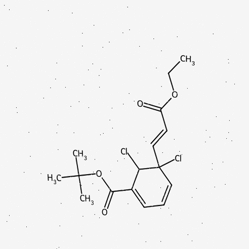 CCOC(=O)/C=C/C1(Cl)C=CC=C(C(=O)OC(C)(C)C)C1Cl